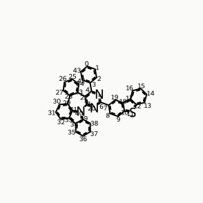 c1ccc(-c2nc(-c3ccc4sc5ccccc5c4c3)nc3c2-c2ccccc2-c2cccc4c5ccccc5n-3c24)cc1